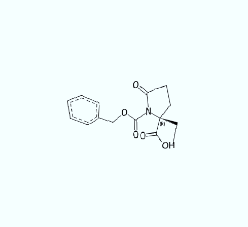 CC[C@]1(C(=O)O)CCC(=O)N1C(=O)OCc1ccccc1